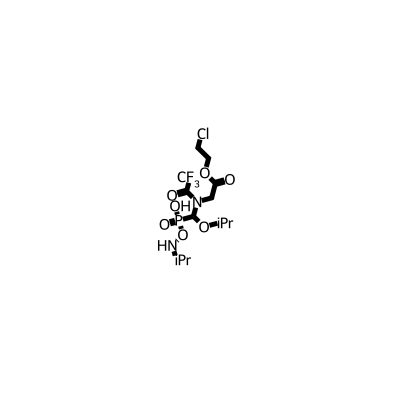 CC(C)NOP(=O)(O)C(OC(C)C)N(CC(=O)OCCCl)C(=O)C(F)(F)F